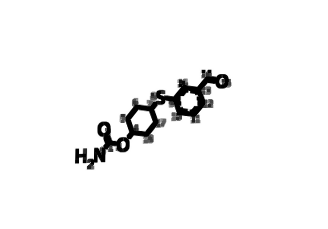 NC(=O)OC1CCC(Sc2cccc(C=O)c2)CC1